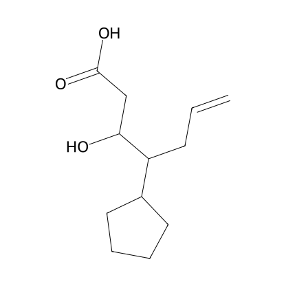 C=CCC(C(O)CC(=O)O)C1CCCC1